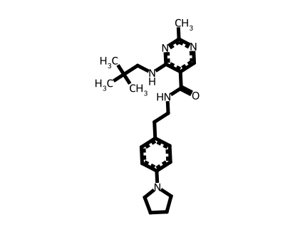 Cc1ncc(C(=O)NCCc2ccc(N3CCCC3)cc2)c(NCC(C)(C)C)n1